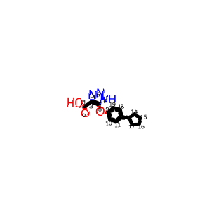 O=C(O)c1nn[nH]c1Oc1ccc(C2CCCC2)cc1